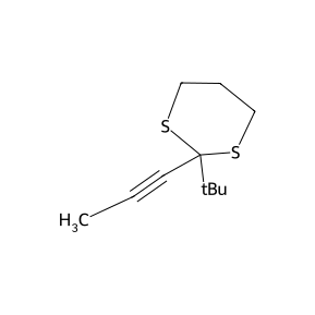 CC#CC1(C(C)(C)C)SCCCS1